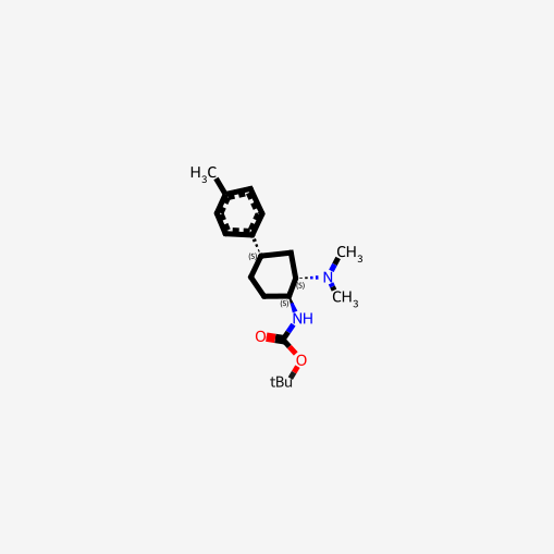 Cc1ccc([C@H]2CC[C@H](NC(=O)OC(C)(C)C)[C@@H](N(C)C)C2)cc1